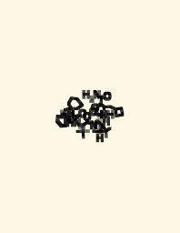 CC(C)(C)[C@H](NC(=O)NC1(Cc2ccccn2)CCCCC1)C(=O)N1C[C@H]2[C@@H]([C@H]1C(=O)NC(CC1CCC1)C(=O)C(N)=O)C2(C)C